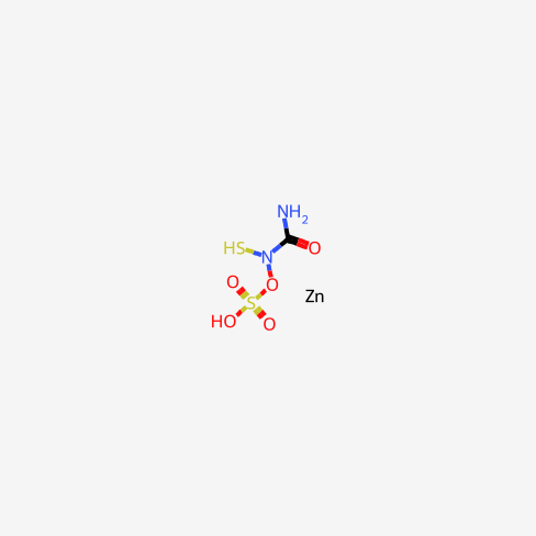 NC(=O)N(S)OS(=O)(=O)O.[Zn]